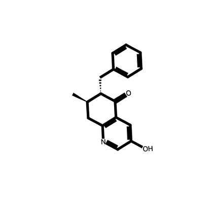 C[C@@H]1Cc2ncc(O)cc2C(=O)[C@H]1Cc1ccccc1